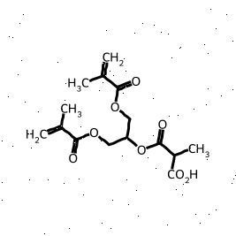 C=C(C)C(=O)OCC(COC(=O)C(=C)C)OC(=O)C(C)C(=O)O